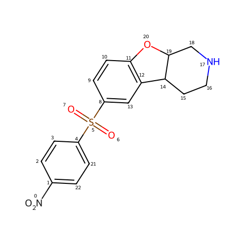 O=[N+]([O-])c1ccc(S(=O)(=O)c2ccc3c(c2)C2CCNCC2O3)cc1